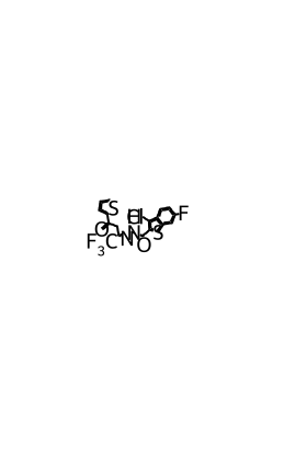 O=C(CC(=NNC(=O)c1sc2cc(F)ccc2c1Cl)C(F)(F)F)c1cccs1